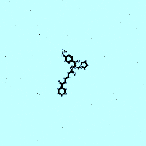 CCCCOc1ccc([C@@H](O)[C@@H](CN2CCCC2)NC(=O)CCCCC(=O)C2CCCCC2)cc1